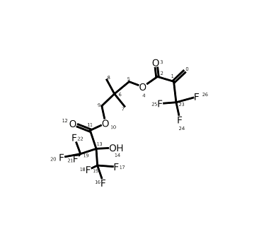 C=C(C(=O)OCC(C)(C)COC(=O)C(O)(C(F)(F)F)C(F)(F)F)C(F)(F)F